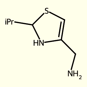 CC(C)C1NC(CN)=CS1